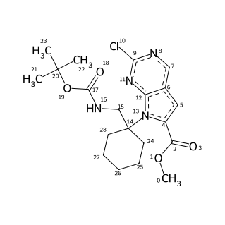 COC(=O)c1cc2cnc(Cl)nc2n1C1(CNC(=O)OC(C)(C)C)CCCCC1